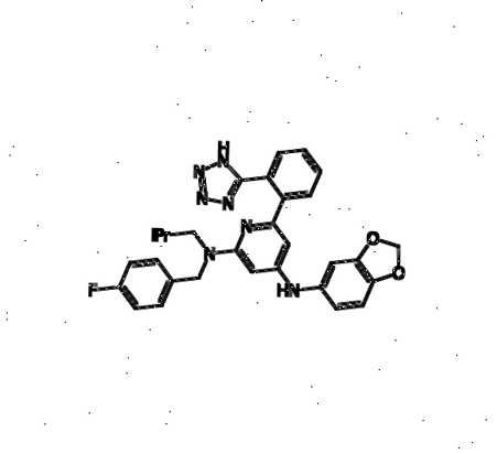 CC(C)CN(Cc1ccc(F)cc1)c1cc(Nc2ccc3c(c2)OCO3)cc(-c2ccccc2-c2nnn[nH]2)n1